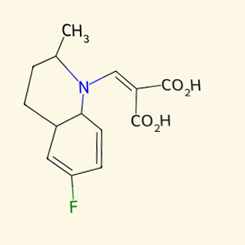 CC1CCC2C=C(F)C=CC2N1C=C(C(=O)O)C(=O)O